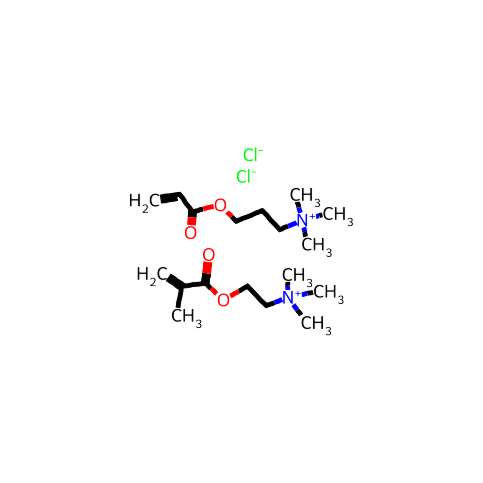 C=C(C)C(=O)OCC[N+](C)(C)C.C=CC(=O)OCCC[N+](C)(C)C.[Cl-].[Cl-]